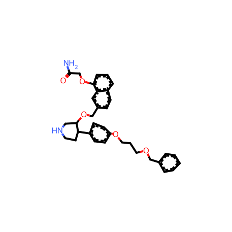 NC(=O)COc1cccc2ccc(COC3CNCCC3c3ccc(OCCCOCc4ccccc4)cc3)cc12